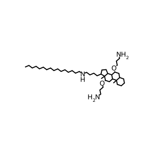 CCCCCCCCCCCCCCCCNCCCCC1CCC2C3C(C[C@H](OCCCN)C12C)C1(C)CCCCC1C[C@H]3OCCCN